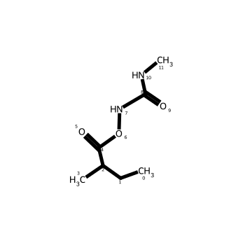 CCC(C)C(=O)ONC(=O)NC